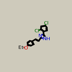 CCOc1ccc(C=Cc2nc(-c3ccc(Cl)cc3Cl)c[nH]2)cc1